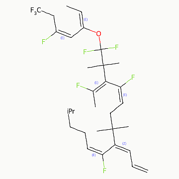 C=C/C=C(\C(F)=C/CCC(C)C)C(C)(C)C/C=C(F)\C(=C(/C)F)C(C)(C)C(F)(F)OC(/C=C(/F)CC(F)(F)F)=C/C